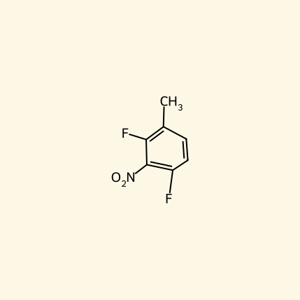 Cc1ccc(F)c([N+](=O)[O-])c1F